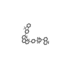 CC1(C)c2ccccc2-c2ccc(-c3ccc4ccc5ccc(-c6ccc(-c7ncc(-c8cccc9ncccc89)cn7)cc6)nc5c4n3)cc21